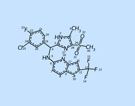 Cc1[nH]c(C(Nc2ccc3sc(C(F)(F)F)cc3n2)c2ccc(F)c(Cl)c2)nc1S(C)(=O)=O